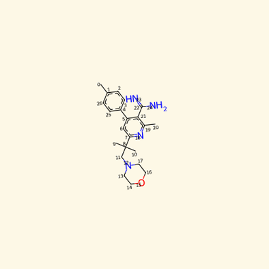 Cc1ccc(-c2cc(C(C)(C)CN3CCOCC3)nc(C)c2C(=N)N)cc1